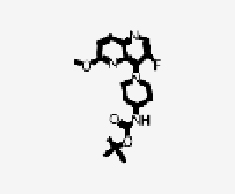 COc1ccc2ncc(F)c(N3CCC(NC(=O)OC(C)(C)C)CC3)c2n1